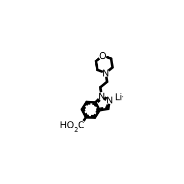 O=C(O)c1ccc2c(cnn2CCN2CCOCC2)c1.[Li]